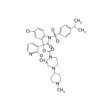 COc1ncccc1C1(OC(=O)N2CCN(C3CCN(C)CC3)CC2)C(=O)N(S(=O)(=O)c2ccc(C(C)C)cc2)c2ccc(Cl)cc21